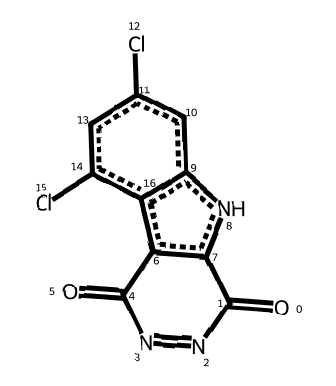 O=C1N=NC(=O)c2c1[nH]c1cc(Cl)cc(Cl)c21